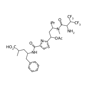 CC(=O)OC(CC(C(C)C)N(C)C(=O)C(N)C(C(F)(F)F)C(F)(F)F)c1nc(C(=O)NC(Cc2ccccc2)CC(C)C(=O)O)cs1